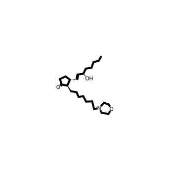 CCCCC[C@H](O)/C=C/[C@H]1CCC(=O)[C@@H]1CCCCCCCN1CCOCC1